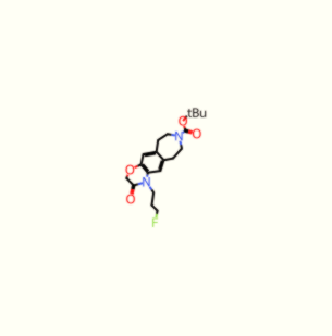 CC(C)(C)OC(=O)N1CCc2cc3c(cc2CC1)N(CCCF)C(=O)CO3